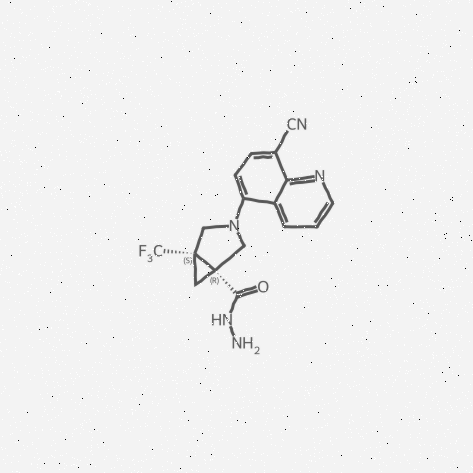 N#Cc1ccc(N2C[C@@]3(C(=O)NN)C[C@@]3(C(F)(F)F)C2)c2cccnc12